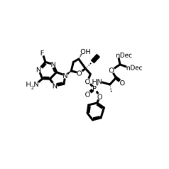 C#C[C@]1(CO[P@](=O)(N[C@@H](C)C(=O)OC(CCCCCCCCCC)CCCCCCCCCC)Oc2ccccc2)O[C@@H](n2cnc3c(N)nc(F)nc32)C[C@@H]1O